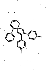 Cc1ccc(C=CC2(C=Cc3ccc(C)cc3)CC=CC=C2c2ccccc2)cc1